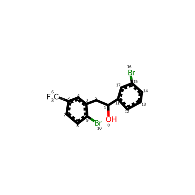 OC(Cc1cc(C(F)(F)F)ccc1Br)c1cccc(Br)c1